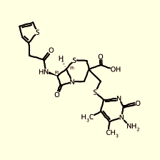 Cc1c(SCC2(C(=O)O)CS[C@@H]3[C@H](NC(=O)Cc4cccs4)C(=O)N3C2)nc(=O)n(N)c1C